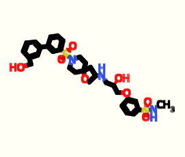 CNS(=O)(=O)c1cccc(OC[C@@H](O)CNC2COC3(CCN(S(=O)(=O)c4cccc(-c5cccc(CO)c5)c4)CC3)C2)c1